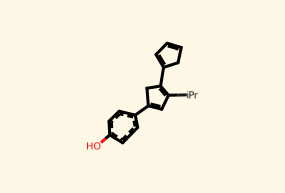 CC(C)C1=C(C2=CC=CC2)CC(c2ccc(O)cc2)=C1